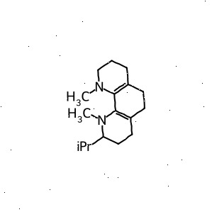 CC(C)C1CCC2=C(C3=C(CCCN3C)CC2)N1C